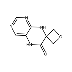 O=C1Nc2cncnc2NC12COC2